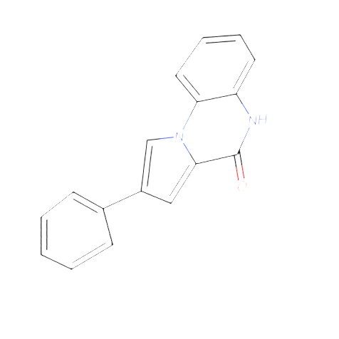 O=c1[nH]c2ccccc2n2cc(-c3ccccc3)cc12